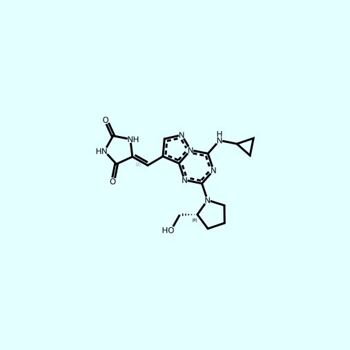 O=C1NC(=O)/C(=C/c2cnn3c(NC4CC4)nc(N4CCC[C@@H]4CO)nc23)N1